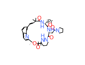 CC(C)[C@@H]1NC(=O)C(C)(C)/C=C/c2ccc3ccc(nc3c2)[C@@H](C)OC(=O)[C@@H]2CCCN(N2)C(=O)[C@H](CC(=O)N2CCCC2)NC1=O